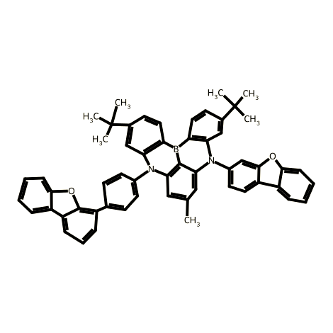 Cc1cc2c3c(c1)N(c1ccc4c(c1)oc1ccccc14)c1cc(C(C)(C)C)ccc1B3c1ccc(C(C)(C)C)cc1N2c1ccc(-c2cccc3c2oc2ccccc23)cc1